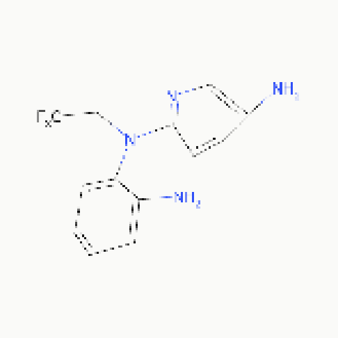 Nc1ccc(N(CC(F)(F)F)c2ccccc2N)nc1